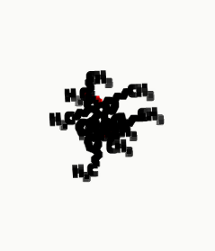 CCCCc1ccc(C2=C(c3ccc(CCCC)cc3CCCC)C(P(O)O)(P(O)O)C3=C(c4cccc(-c5ccc(CCCC)cc5CCCC)c43)C2c2ccc(CCCC)cc2CCCC)c(CCCC)c1